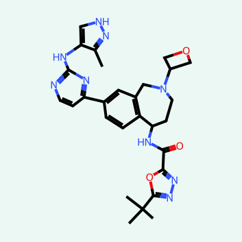 Cc1n[nH]cc1Nc1nccc(-c2ccc3c(c2)CN(C2COC2)CCC3NC(=O)c2nnc(C(C)(C)C)o2)n1